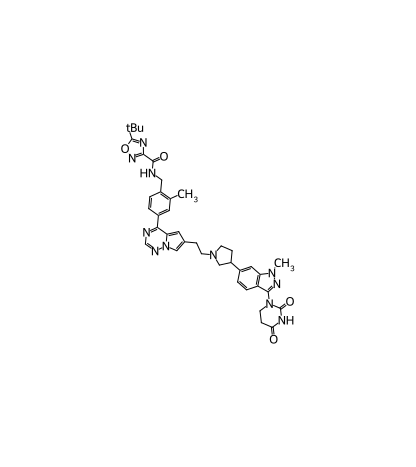 Cc1cc(-c2ncnn3cc(CCN4CCC(c5ccc6c(N7CCC(=O)NC7=O)nn(C)c6c5)C4)cc23)ccc1CNC(=O)c1noc(C(C)(C)C)n1